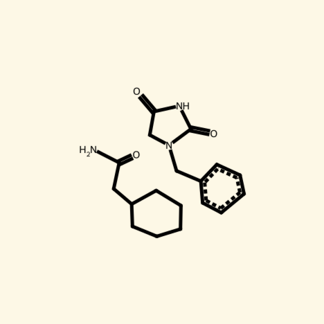 NC(=O)CC1CCCCC1.O=C1CN(Cc2ccccc2)C(=O)N1